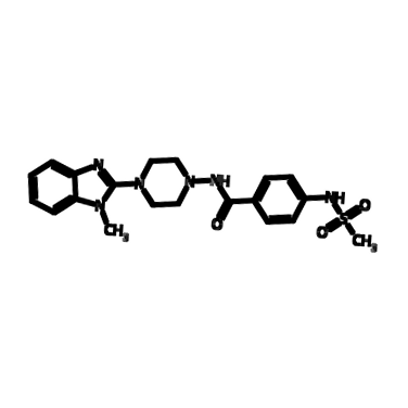 Cn1c(N2CCN(NC(=O)c3ccc(NS(C)(=O)=O)cc3)CC2)nc2ccccc21